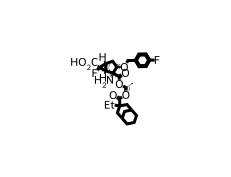 CCC1(C(=O)O[C@@H](C)OC(=O)[C@@]2(N)[C@H]3[C@@H](C[C@H]2OCc2ccc(F)cc2)[C@]3(F)C(=O)O)CC2CCCC(C2)C1